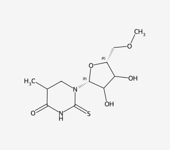 COC[C@H]1O[C@@H](N2CC(C)C(=O)NC2=S)C(O)C1O